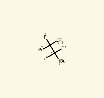 CC(C)C(F)(C(F)(F)F)C(F)(F)C(C)(C)C